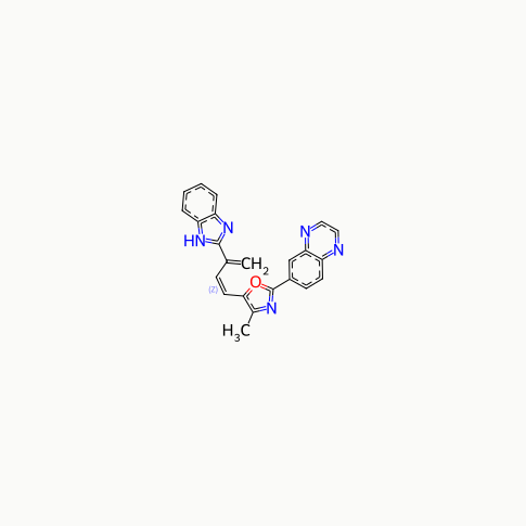 C=C(/C=C\c1oc(-c2ccc3nccnc3c2)nc1C)c1nc2ccccc2[nH]1